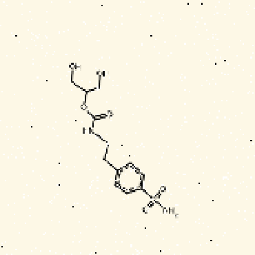 NS(=O)(=O)c1ccc(CCNC(=O)OC(CO)CO)cc1